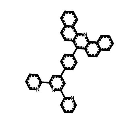 c1ccc(-c2cc(-c3ccc(-c4c5ccc6ccccc6c5nc5c4ccc4ccccc45)cc3)cc(-c3ccccn3)n2)nc1